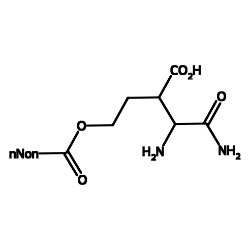 CCCCCCCCCC(=O)OCCC(C(=O)O)C(N)C(N)=O